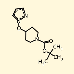 CC(C)(C)OC(=O)N1CCC(On2cccn2)CC1